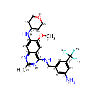 COc1cc2c(NCc3cc(N)cc(C(F)(F)F)c3)nc(C)nc2cc1NC1CCOCC1